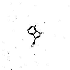 N#Cc1c[nH]c2c(Cl)c[c]cc12